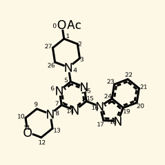 CC(=O)OC1CCN(c2nc(N3CCOCC3)nc(-n3cnc4ccccc43)n2)CC1